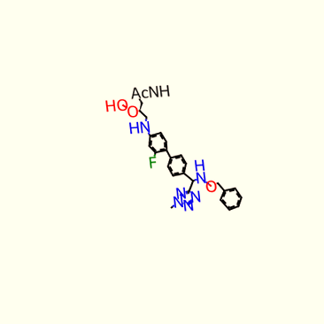 CC(=O)NC[C@@H](CNc1ccc(-c2ccc(C(NOCc3ccccc3)c3nnn(C)n3)cc2)c(F)c1)OO